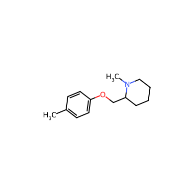 Cc1ccc(OCC2CCCCN2C)cc1